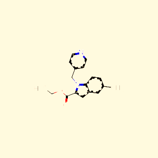 CCOC(=O)c1cc2cc(C)ccc2n1Cc1ccncc1